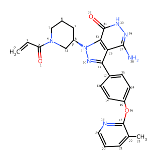 C=CC(=O)N1CCC[C@@H](n2nc(-c3ccc(Oc4ncccc4C)cc3)c3c(N)n[nH]c(=O)c32)C1